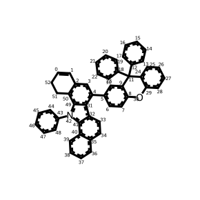 C1=Cc2cc(-c3ccc4c(c3)C(c3ccccc3)(c3ccccc3)c3ccccc3O4)c3c4ccc5ccccc5c4n(-c4ccccc4)c3c2CC1